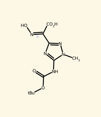 Cn1nc(/C(=N/O)C(=O)O)nc1NC(=O)OC(C)(C)C